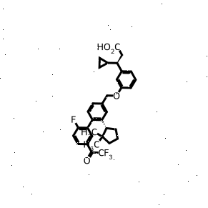 CC1(C)CCC[C@H]1c1cc(COc2cccc([C@H](CC(=O)O)C3CC3)c2)ccc1-c1cc(C(=O)C(F)(F)F)ccc1F